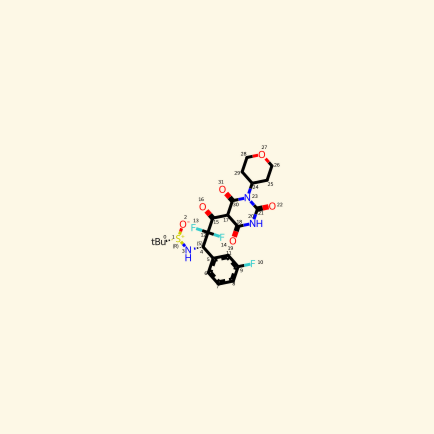 CC(C)(C)[S@+]([O-])N[C@@H](c1cccc(F)c1)C(F)(F)C(=O)C1C(=O)NC(=O)N(C2CCOCC2)C1=O